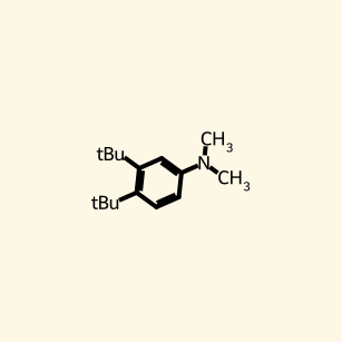 CN(C)c1ccc(C(C)(C)C)c(C(C)(C)C)c1